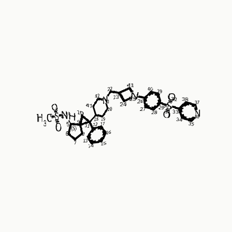 CS(=O)(=O)N[C@H]1CCCC12CC2(c1ccccc1)C1CCN(CC2CN(c3ccc(S(=O)(=O)c4ccncc4)cc3)C2)CC1